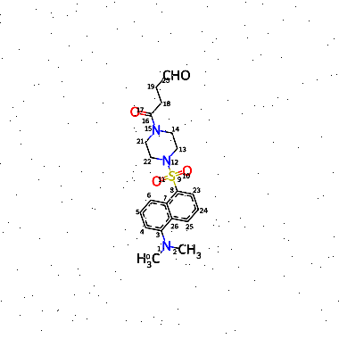 CN(C)c1cccc2c(S(=O)(=O)N3CCN(C(=O)CCC=O)CC3)cccc12